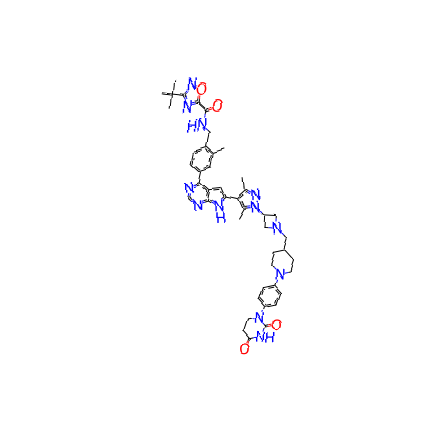 Cc1cc(-c2ncnc3[nH]c(-c4c(C)nn(C5CN(CC6CCN(c7ccc(N8CCC(=O)NC8=O)cc7)CC6)C5)c4C)cc23)ccc1CNC(=O)c1nc(C(C)(C)C)no1